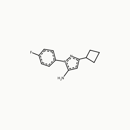 Nc1cc(C2CCC2)nn1-c1ccc(F)cc1